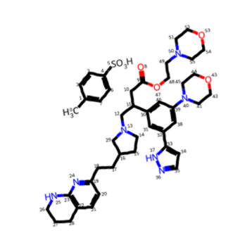 Cc1ccc(S(=O)(=O)O)cc1.O=C(CC(CN1CCC(CCc2ccc3c(n2)NCCC3)C1)c1cc(-c2ccn[nH]2)cc(N2CCOCC2)c1)OCCN1CCOCC1